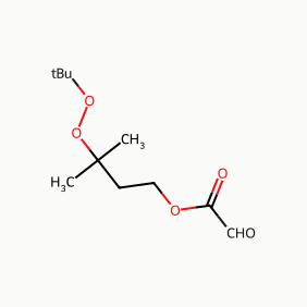 CC(C)(C)OOC(C)(C)CCOC(=O)C=O